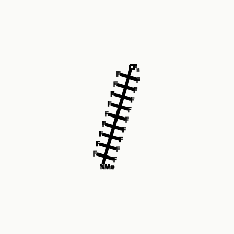 CNC(F)(F)C(F)(F)C(F)(F)C(F)(F)C(F)(F)C(F)(F)C(F)(F)C(F)(F)C(F)(F)C(F)(F)F